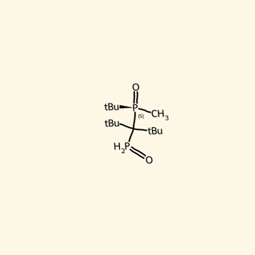 CC(C)(C)C([PH2]=O)(C(C)(C)C)[P@@](C)(=O)C(C)(C)C